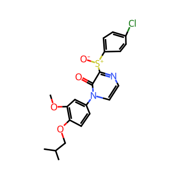 COc1cc(-n2ccnc([S+]([O-])c3ccc(Cl)cc3)c2=O)ccc1OCC(C)C